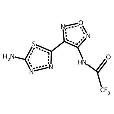 Nc1nnc(-c2nonc2NC(=O)C(F)(F)F)s1